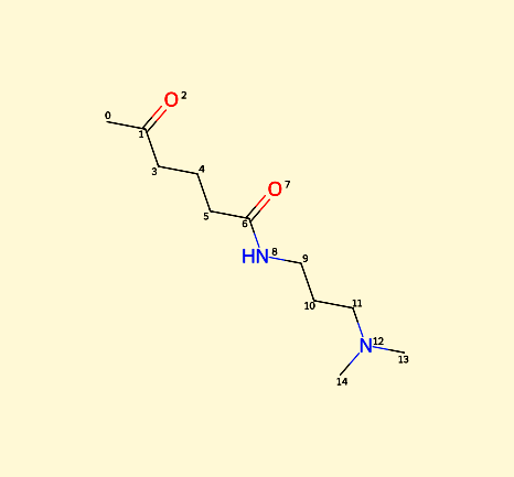 CC(=O)CCCC(=O)NCCCN(C)C